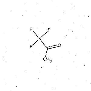 CC(=O)S(F)(F)F